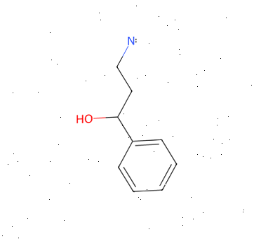 [N]CCC(O)c1ccccc1